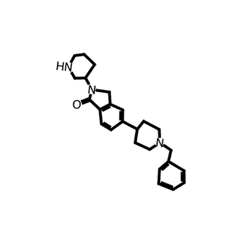 O=C1c2ccc(C3CCN(Cc4ccccc4)CC3)cc2CN1C1CCCNC1